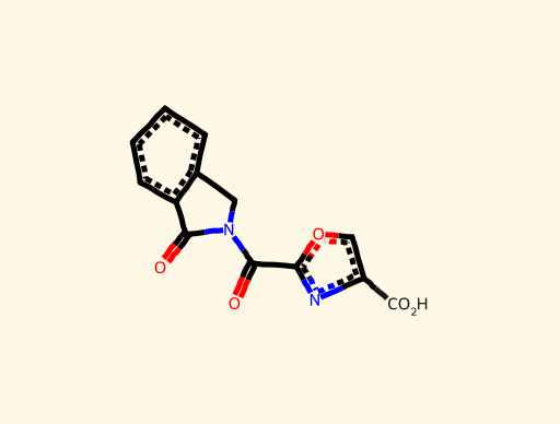 O=C(O)c1coc(C(=O)N2Cc3ccccc3C2=O)n1